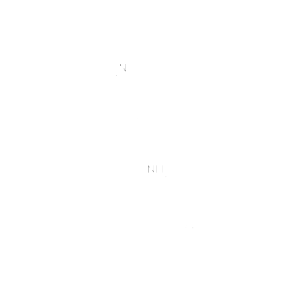 C1CCOC1.NCCCN